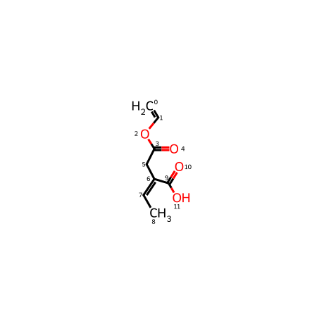 C=COC(=O)CC(=CC)C(=O)O